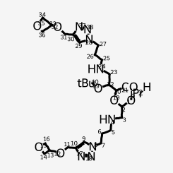 CC(C)OC(CNCCCn1cc(COC2COC2)nn1)OC(C(=O)O)C(CNCCCn1cc(COC2COC2)nn1)OC(C)(C)C